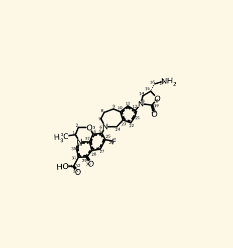 CC1COc2c(N3CCCc4cc(N5C[C@H](CN)OC5=O)ccc4C3)c(F)cc3c(=O)c(C(=O)O)cn1c23